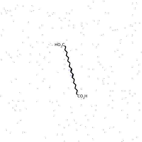 O=C(O)CCCCCC/C=C/C=C/CCCCCCCCC(=O)O